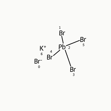 [Br-].[Br][Pb]([Br])([Br])[Br].[K+]